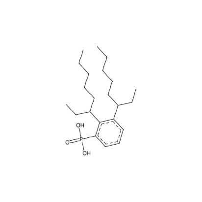 CCCCCC(CC)c1cccc(P(=O)(O)O)c1C(CC)CCCCC